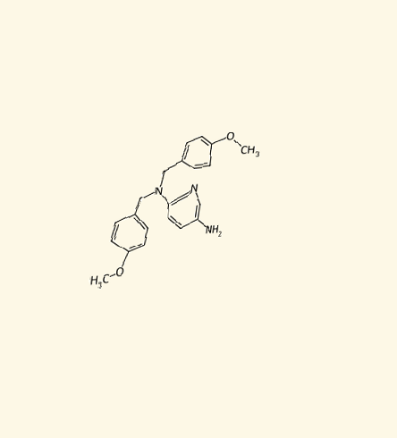 COc1ccc(CN(Cc2ccc(OC)cc2)c2ccc(N)cn2)cc1